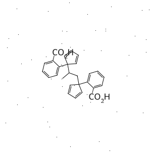 CC(CC1(c2ccccc2C(=O)O)C=CC=C1)C1(c2ccccc2C(=O)O)C=CC=C1